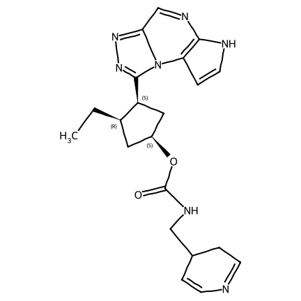 CC[C@@H]1C[C@H](OC(=O)NCC2C=CN=CC2)C[C@@H]1c1nnc2cnc3[nH]ccc3n12